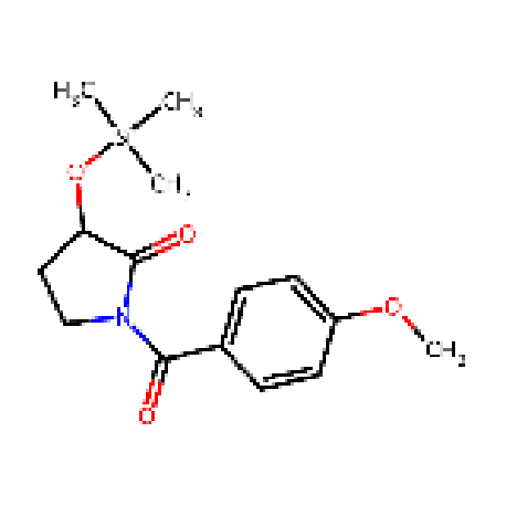 COc1ccc(C(=O)N2CCC(O[Si](C)(C)C)C2=O)cc1